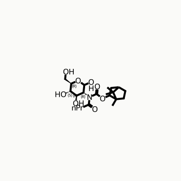 CCCC(=O)N(C(=O)OC1CC2CCC1(C)C2(C)C)[C@H]1C(O)O[C@H](CO)[C@@H](O)[C@@H]1O